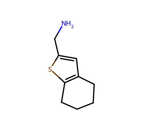 NCc1cc2c(s1)CCCC2